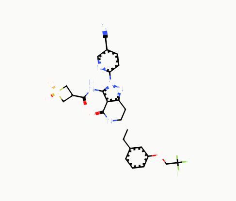 N#Cc1ccc(-n2nc3c(c2NC(=O)C2CS(=O)(=O)C2)C(=O)N[C@@H](CCc2cccc(OCC(F)(F)F)c2)C3)nc1